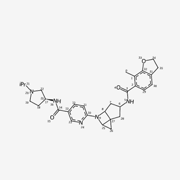 Cc1c(C(=O)NC2CC3N(c4ccc(C(=O)N[C@H]5CCN(C(C)C)C5)cn4)C4CC34C2)ccc2c1OCC2